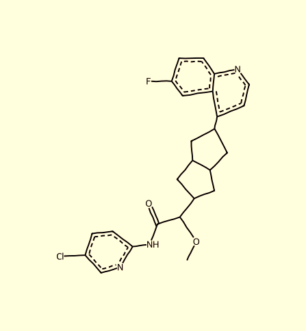 COC(C(=O)Nc1ccc(Cl)cn1)C1CC2CC(c3ccnc4ccc(F)cc34)CC2C1